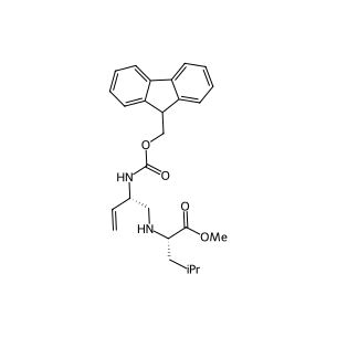 C=C[C@@H](CN[C@@H](CC(C)C)C(=O)OC)NC(=O)OCC1c2ccccc2-c2ccccc21